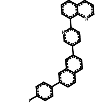 Ic1ccc(-c2ccc3ccc(-c4ccc(-c5cccc6cccnc56)nc4)cc3c2)cc1